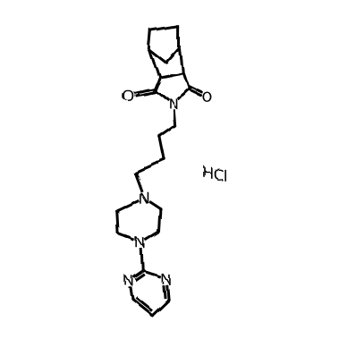 Cl.O=C1C2C3CCC(C3)C2C(=O)N1CCCCN1CCN(c2ncccn2)CC1